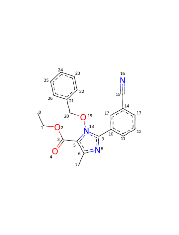 CCOC(=O)c1c(C)nc(-c2cccc(C#N)c2)n1OCc1ccccc1